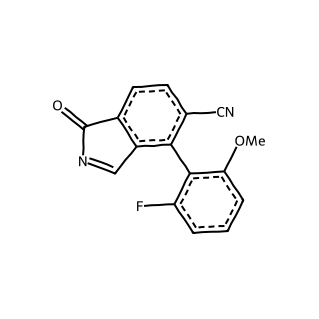 COc1cccc(F)c1-c1c(C#N)ccc2c1C=NC2=O